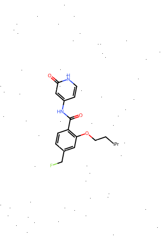 CC(C)CCOc1cc(CF)ccc1C(=O)Nc1cc[nH]c(=O)c1